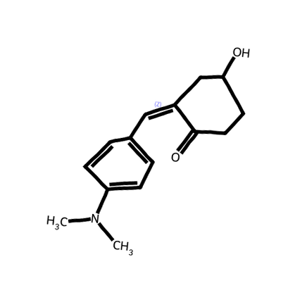 CN(C)c1ccc(/C=C2/CC(O)CCC2=O)cc1